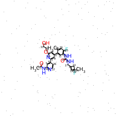 CC(=O)Nc1cc(-c2cc(-c3cc(NC(=O)NCC4=C[C@](C)(F)C4)c(F)cc3C)cc(OCCO)n2)ccn1